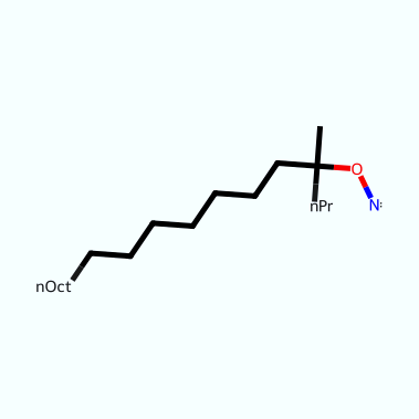 CCCCCCCCCCCCCCCC(C)(CCC)O[N]